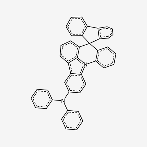 c1ccc(N(c2ccccc2)c2ccc3c(c2)c2cccc4c2n3-c2ccccc2C42c3ccccc3-c3ccccc32)cc1